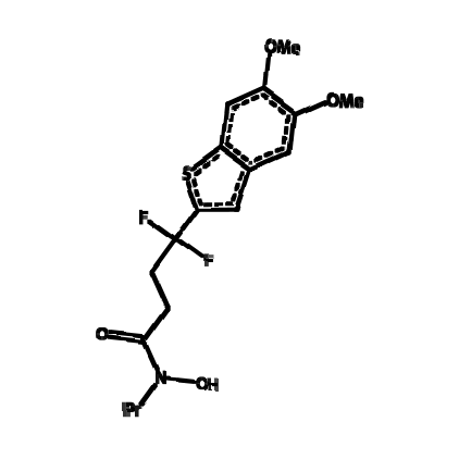 COc1cc2cc(C(F)(F)CCC(=O)N(O)C(C)C)sc2cc1OC